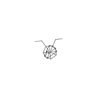 CC[C]12[CH]3[CH]4[CH]5[C]1(CC)[Ni]43521678[CH]2[CH]1[CH]6[CH]7[CH]28